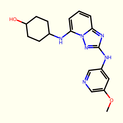 COc1cncc(Nc2nc3cccc(NC4CCC(O)CC4)n3n2)c1